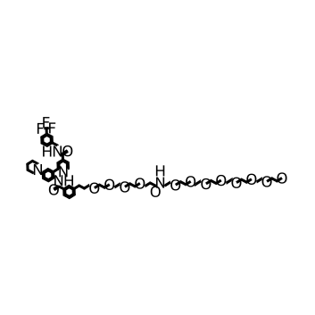 COCCOCCOCCOCCOCCOCCOCCOCCNC(=O)CCOCCOCCOCCOCCCc1cccc(C(=O)Nc2ccc(N3CCCCC3)cc2-c2cc(C(=O)NCc3cccc(C(F)(F)F)c3)ccn2)c1